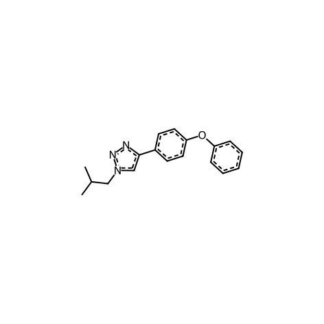 CC(C)Cn1cc(-c2ccc(Oc3ccccc3)cc2)nn1